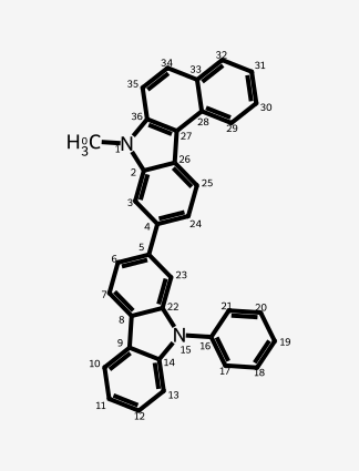 Cn1c2cc(-c3ccc4c5ccccc5n(-c5ccccc5)c4c3)ccc2c2c3ccccc3ccc21